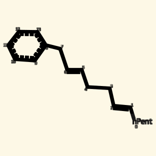 CCCCCC=CCCC=CCc1ccccc1